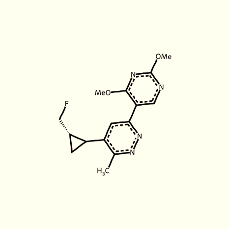 COc1ncc(-c2cc(C3C[C@@H]3CF)c(C)nn2)c(OC)n1